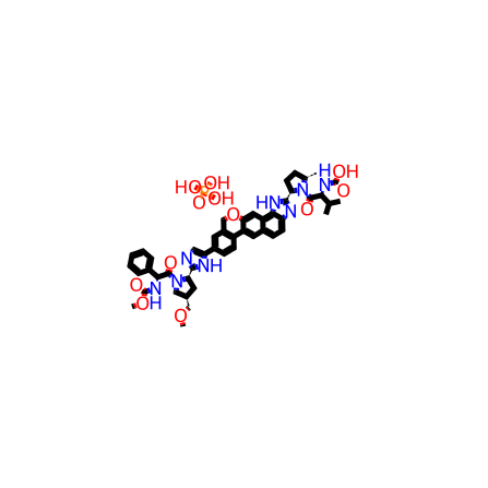 COC[C@H]1C[C@@H](c2ncc(-c3ccc4c(c3)COc3cc5c(ccc6nc([C@@H]7CC[C@H](C)N7C(=O)[C@@H](NC(=O)O)C(C)C)[nH]c65)cc3-4)[nH]2)N(C(=O)[C@H](NC(=O)OC)c2ccccc2)C1.O=P(O)(O)O